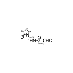 O=C/C=C\C(=O)NCCN1CCCC1=O